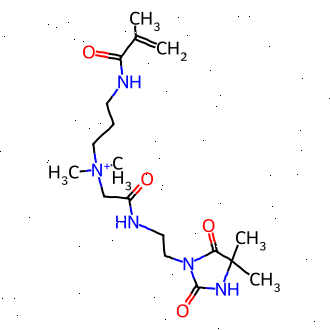 C=C(C)C(=O)NCCC[N+](C)(C)CC(=O)NCCN1C(=O)NC(C)(C)C1=O